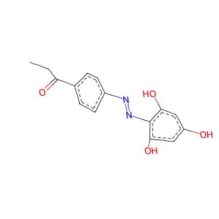 CCC(=O)c1ccc(N=Nc2c(O)cc(O)cc2O)cc1